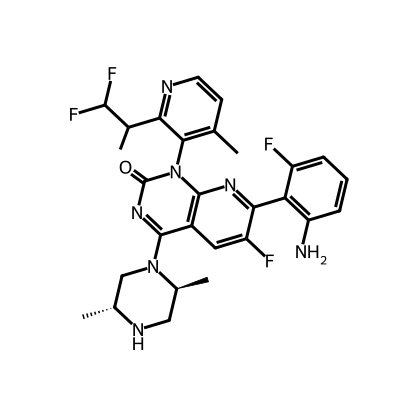 Cc1ccnc(C(C)C(F)F)c1-n1c(=O)nc(N2C[C@@H](C)NC[C@@H]2C)c2cc(F)c(-c3c(N)cccc3F)nc21